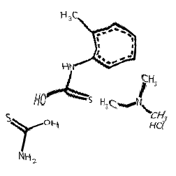 CN(C)C.Cc1ccccc1NC(O)=S.Cl.NC(O)=S